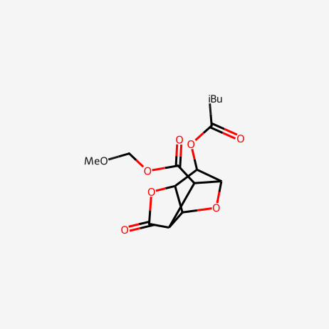 CCC(C)C(=O)OC1C2OC(=O)C3C2OC1C3C(=O)OCOC